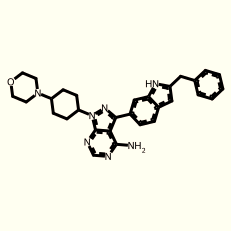 Nc1ncnc2c1c(-c1ccc3cc(Cc4ccccc4)[nH]c3c1)nn2C1CCC(N2CCOCC2)CC1